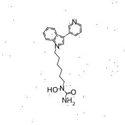 NC(=O)N(O)CCCCCCn1cc(-c2cccnc2)c2ccccc21